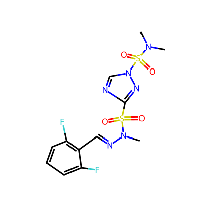 CN(/N=C/c1c(F)cccc1F)S(=O)(=O)c1ncn(S(=O)(=O)N(C)C)n1